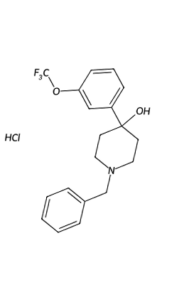 Cl.OC1(c2cccc(OC(F)(F)F)c2)CCN(Cc2ccccc2)CC1